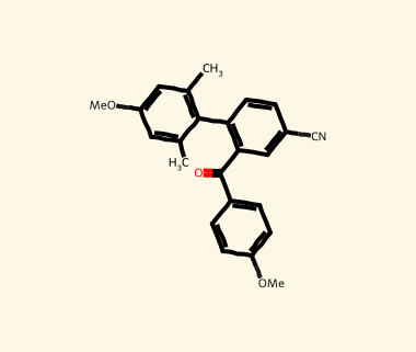 COc1ccc(C(=O)c2cc(C#N)ccc2-c2c(C)cc(OC)cc2C)cc1